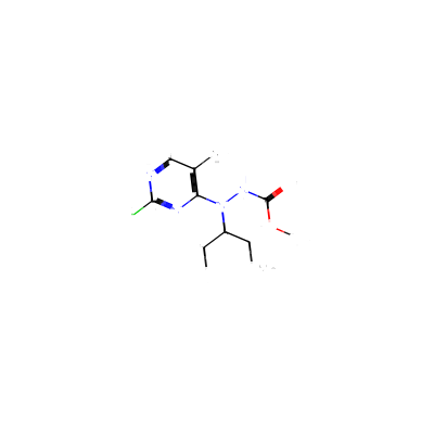 COCC(CC=O)N(NC(=O)OC(C)(C)C)c1nc(Cl)ncc1[N+](=O)[O-]